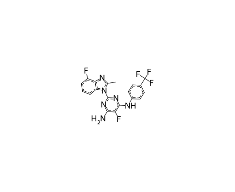 Cc1nc2c(F)cccc2n1-c1nc(N)c(F)c(Nc2ccc(C(F)(F)F)cc2)n1